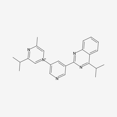 Cc1c[n+](-c2cncc(-c3nc(C(C)C)c4ccccc4n3)c2)cc(C(C)C)n1